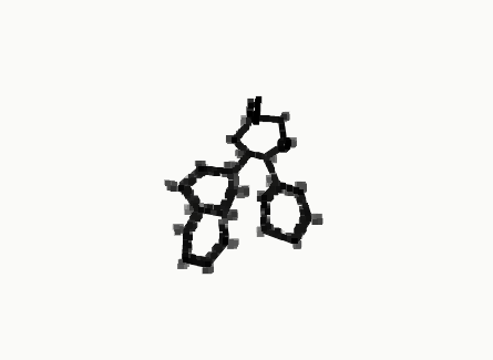 c1ccc(C2OCNCC2c2ccc3ccccc3c2)cc1